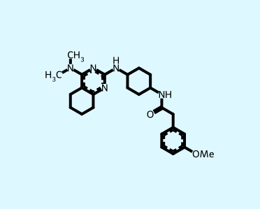 COc1cccc(CC(=O)NC2CCC(Nc3nc4c(c(N(C)C)n3)CCCC4)CC2)c1